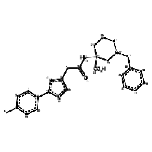 Cc1ccc(-c2nc(CC(=O)NC3(C(=O)O)CCCN(Cc4ccccc4)C3)cs2)cc1